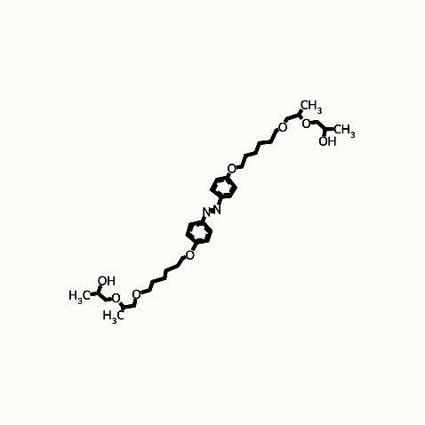 CC(O)COC(C)COCCCCCCOc1ccc(N=Nc2ccc(OCCCCCCOCC(C)OCC(C)O)cc2)cc1